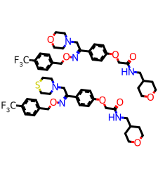 O=C(COc1ccc(C(CN2CCOCC2)=NOCc2ccc(C(F)(F)F)cc2)cc1)NCC1CCOCC1.O=C(COc1ccc(C(CN2CCSCC2)=NOCc2ccc(C(F)(F)F)cc2)cc1)NCC1CCOCC1